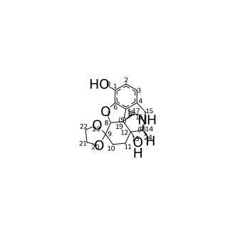 Oc1ccc2c3c1OC1C4(CCC5(O)[C@@H](C2)NCC[C@]315)OCCO4